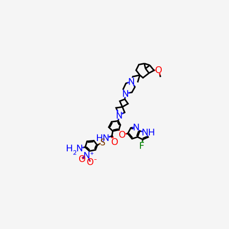 COC1C2CC(C)(CN3CCN(C4CC5(C4)CN(c4ccc(C(=O)NSc6ccc(N)c([N+](=O)[O-])c6)c(Oc6cnc7[nH]cc(F)c7c6)c4)C5)CC3)CCC3C2C31